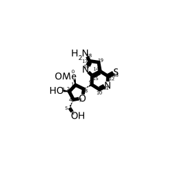 CO[C@@H]1[C@H](O)[C@@H](CO)O[C@H]1C1C=NC(=S)C2=C1N=C(N)C2